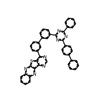 c1ccc(-c2ccc(-c3nc(-c4ccccc4)nc(-c4cccc(-c5cccc(-c6ncnc7c6sc6nc8ccccc8nc67)c5)c4)n3)cc2)cc1